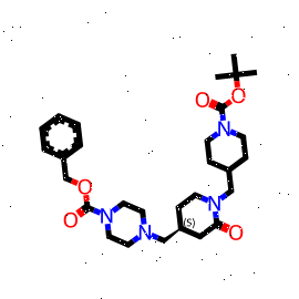 CC(C)(C)OC(=O)N1CCC(CN2CC[C@H](CN3CCN(C(=O)OCc4ccccc4)CC3)CC2=O)CC1